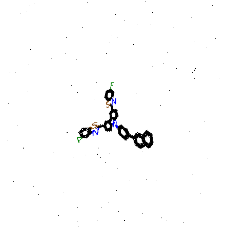 Fc1ccc2sc(-c3ccc4c(c3)c3cc(-c5nc6cc(F)ccc6s5)ccc3n4-c3ccc(-c4ccc5ccccc5c4)cc3)nc2c1